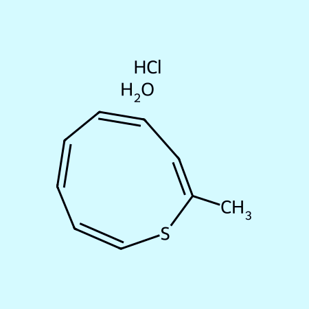 Cc1cccccccs1.Cl.O